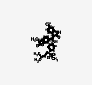 CN(C)CCN(c1ccc(N/C(=C2\C(=O)Nc3cc(Cl)ccc32)c2ccc3c(c2)oc(=O)n3C)cc1)S(C)(=O)=O